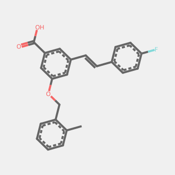 Cc1ccccc1COc1cc(C=Cc2ccc(F)cc2)cc(C(=O)O)c1